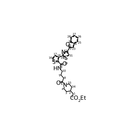 CCOC(=O)CC1CCN(C(=O)CCCNC(=O)c2sccc2-c2nc(-c3cc4ccccc4o3)cs2)CC1